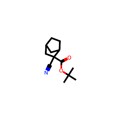 CC(C)(C)OC(=O)C1(C#N)CC2CCC1C2